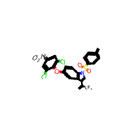 C=C(c1cn(S(=O)(=O)c2ccc(C)cc2)c2ccc(Oc3c(Cl)cc([N+](=O)[O-])cc3Cl)cc12)C(F)(F)F